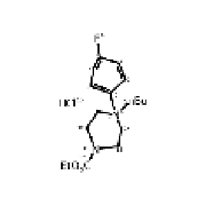 CCCC[N+]1(c2ccc(F)cc2)CCN(C(=O)OCC)CC1.Cl